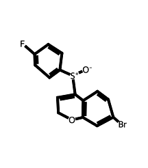 [O-][S+](C1=CCOc2cc(Br)ccc21)c1ccc(F)cc1